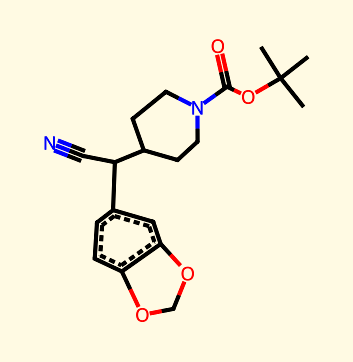 CC(C)(C)OC(=O)N1CCC(C(C#N)c2ccc3c(c2)OCO3)CC1